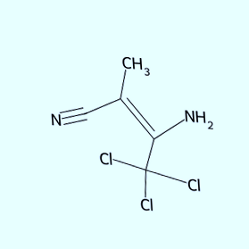 C/C(C#N)=C(\N)C(Cl)(Cl)Cl